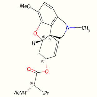 COc1ccc2c3c1O[C@H]1C[C@@H](OC(=O)[C@@H](NC(C)=O)C(C)C)C=C[C@@]31CCN(C)C2